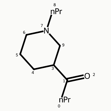 CCCC(=O)C1CCCN(CCC)C1